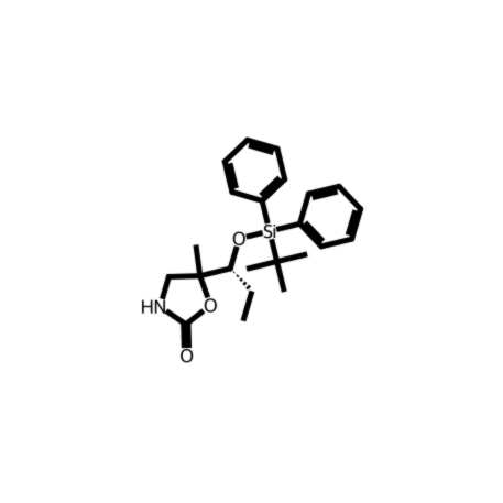 CC[C@@H](O[Si](c1ccccc1)(c1ccccc1)C(C)(C)C)C1(C)CNC(=O)O1